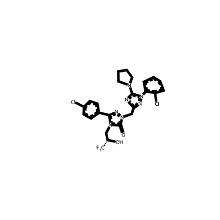 O=c1n(Cc2nc(N3CCCC3)n(-c3ccccc3Cl)n2)nc(-c2ccc(Cl)cc2)n1C[C@H](O)C(F)(F)F